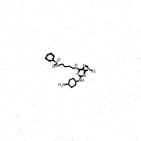 CCn1cnc2c(NCCCCNS(=O)(=O)c3ccccc3)nc(NC3CCC(N)CC3)nc21